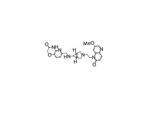 COc1cnc2ccc(=O)n(CCN3C[C@@H]4C(NCc5ccc6c(n5)NC(=O)CO6)[C@@H]4C3)c2c1